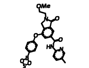 COCCN1Cc2c(Oc3ccc(B4OSO4)cc3)cc(C(=O)Nc3ccc(C)cn3)cc2C1=O